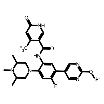 CC(C)Oc1ncc(-c2cc(NC(=O)c3c[nH]c(=O)cc3C(F)(F)F)c(N3CC(C)N(C)C(C)C3)cc2F)cn1